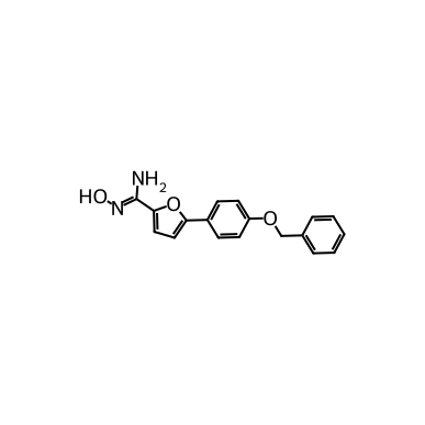 NC(=NO)c1ccc(-c2ccc(OCc3ccccc3)cc2)o1